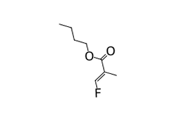 CCCCOC(=O)C(C)=CF